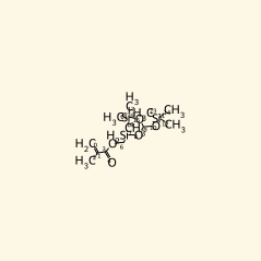 C=C(C)C(=O)OC[SiH2]OC(O[Si](C)(C)C)O[Si](C)(C)C